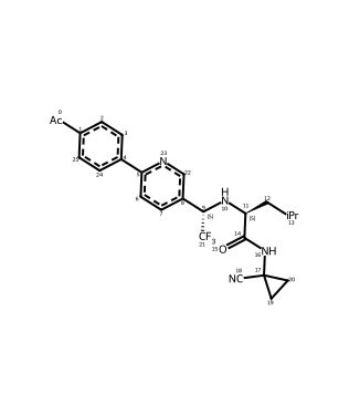 CC(=O)c1ccc(-c2ccc([C@H](N[C@@H](CC(C)C)C(=O)NC3(C#N)CC3)C(F)(F)F)cn2)cc1